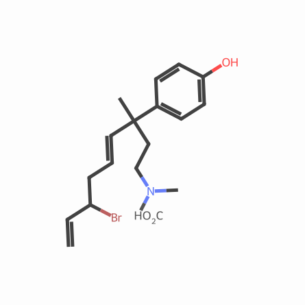 C=CC(Br)C/C=C/C(C)(CCN(C)C(=O)O)c1ccc(O)cc1